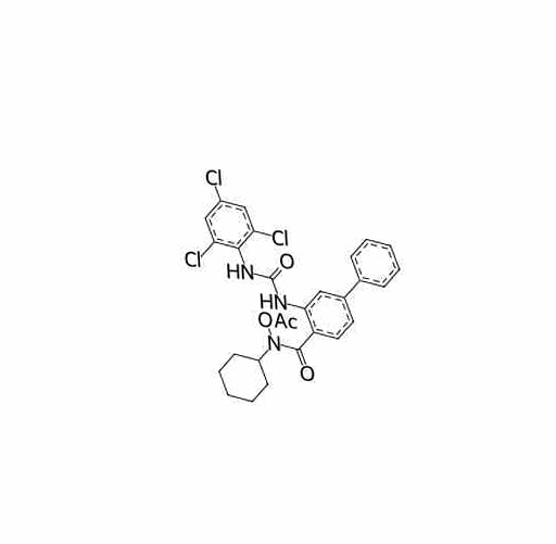 CC(=O)ON(C(=O)c1ccc(-c2ccccc2)cc1NC(=O)Nc1c(Cl)cc(Cl)cc1Cl)C1CCCCC1